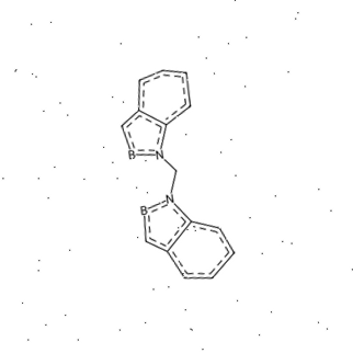 b1cc2ccccc2n1Cn1bcc2ccccc21